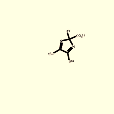 CC(C)C1(C(=O)O)N=C(C(C)(C)C)C(C(C)(C)C)=N1